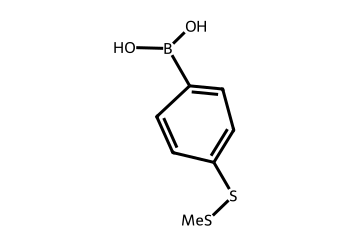 CSSc1ccc(B(O)O)cc1